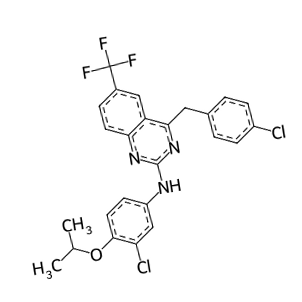 CC(C)Oc1ccc(Nc2nc(Cc3ccc(Cl)cc3)c3cc(C(F)(F)F)ccc3n2)cc1Cl